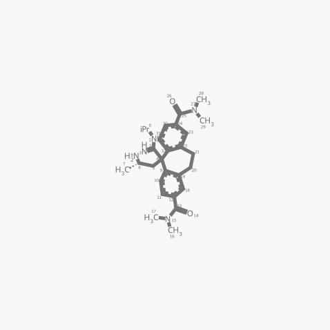 CC(C)NC(=N)C1(C[C@H](C)N)c2ccc(C(=O)N(C)C)cc2CCc2cc(C(=O)N(C)C)ccc21